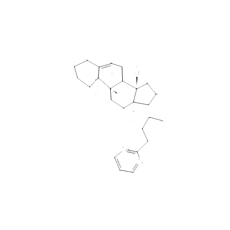 CC(CCc1ncccn1)[C@H]1CC[C@H]2[C@@H]3CC=C4C[C@@H](O)CC[C@]4(C)[C@H]3CC[C@]12C